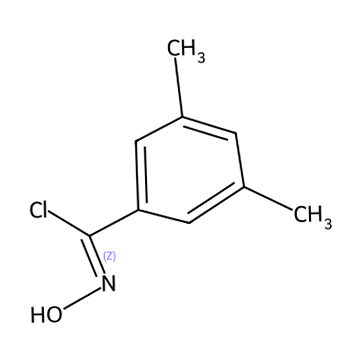 Cc1cc(C)cc(/C(Cl)=N/O)c1